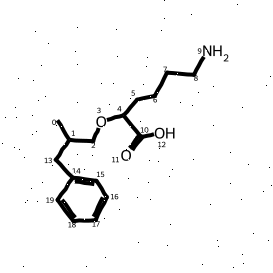 CC(COC(CCCCN)C(=O)O)Cc1ccccc1